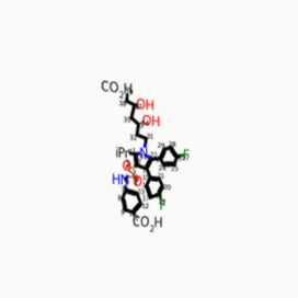 CC(C)c1c(S(=O)(=O)Nc2ccc(C(=O)O)cc2)c(-c2ccc(F)cc2)c(-c2ccc(F)cc2)n1CC[C@@H](O)C[C@@H](O)CC(=O)O